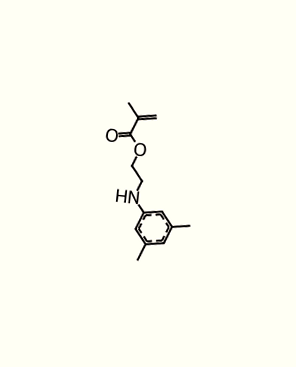 C=C(C)C(=O)OCCNc1cc(C)cc(C)c1